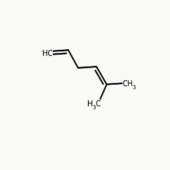 [CH]=CCC=C(C)C